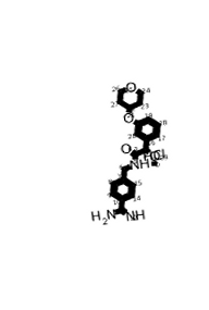 COC(C(=O)NCc1ccc(C(=N)N)cc1)c1cccc(OC2CCOCC2)c1.Cl